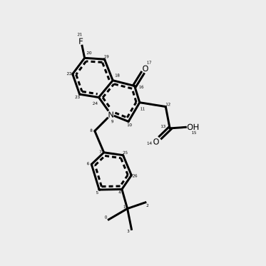 CC(C)(C)c1ccc(Cn2cc(CC(=O)O)c(=O)c3cc(F)ccc32)cc1